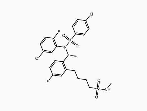 CNS(=O)(=O)CCCCc1cc(F)ccc1[C@@H](C)N(c1cc(Cl)ccc1F)S(=O)(=O)c1ccc(Cl)cc1